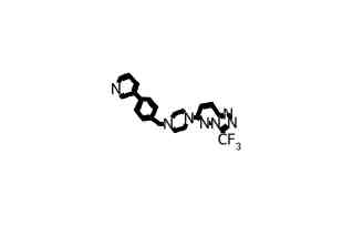 FC(F)(F)c1nnc2ccc(N3CCN(Cc4ccc(-c5cccnc5)cc4)CC3)nn12